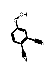 N#Cc1ccc(SO)cc1C#N